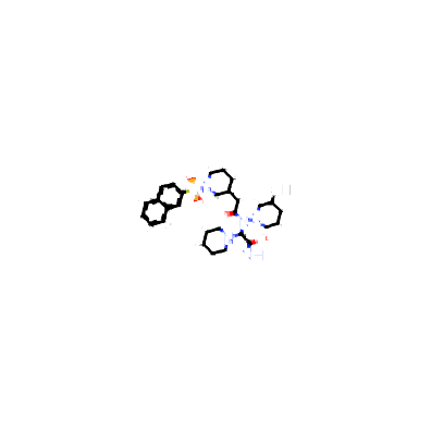 CC1CCCN(N(C(=O)CC2CCCN(S(=O)(=O)c3ccc4ccccc4c3)C2)C(C(N)=O)N2CCCCC2)C1